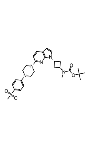 CN(C(=O)OC(C)(C)C)[C@H]1C[C@H](n2ccc3ccc(N4CCN(c5ccc(S(C)(=O)=O)cc5)CC4)nc32)C1